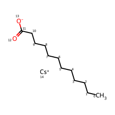 CCCCCCCCCCCC(=O)[O-].[Cs+]